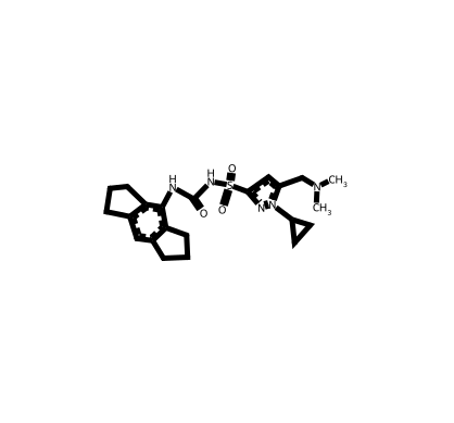 CN(C)Cc1cc(S(=O)(=O)NC(=O)Nc2c3c(cc4c2CCC4)CCC3)nn1C1CC1